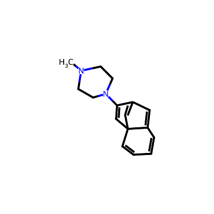 CN1CCN(C2=CC34C=CC=CC3=CC2=C4)CC1